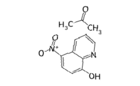 CC(C)=O.O=[N+]([O-])c1ccc(O)c2ncccc12